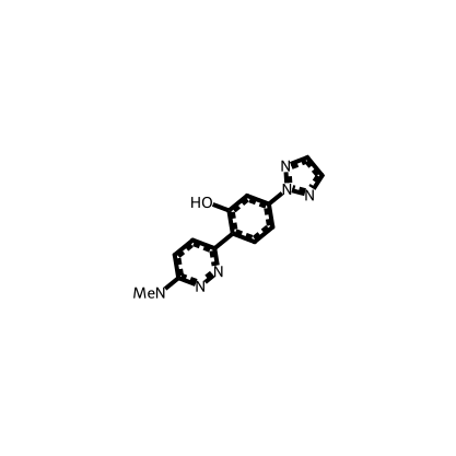 CNc1ccc(-c2ccc(-n3nccn3)cc2O)nn1